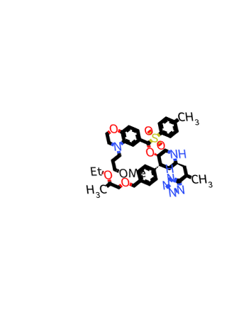 CCOC(C)COCc1ccc([C@H]2C[C@H](CC(C)c3nnn[nH]3)NC[C@@H]2OC(c2ccc3c(c2)N(CCCOC)CCO3)S(=O)(=O)c2ccc(C)cc2)cc1